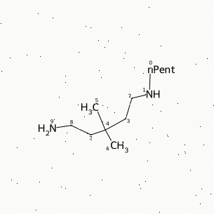 CCCCCNCCC(C)(C)CCN